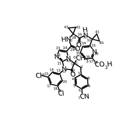 C[C@@]1(Cc2ccc(C#N)cc2)C(=O)N(c2cc(Cl)cc(Cl)c2)c2ncc(C(=O)NC3(C(=O)NC4(c5cccc(C(=O)O)n5)CC4)CC3)n21